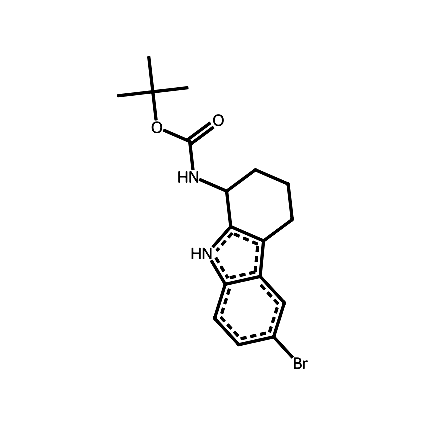 CC(C)(C)OC(=O)NC1CCCc2c1[nH]c1ccc(Br)cc21